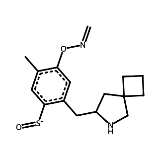 C=NOc1cc(CC2CC3(CCC3)CN2)c([S+]=O)cc1C